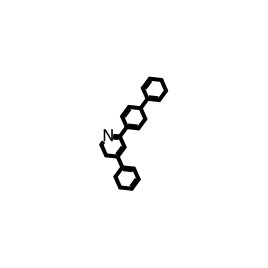 C1=CCCC(C2=CC(C3=CCC(C4=CCCC=C4)C=C3)=NCC2)=C1